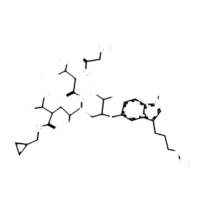 COCCCc1cn(C)c2ccc(CC(C[C@H](NC(=O)[C@@H](NC(=O)CN)C(C)C)C(O)CC(C(=O)NCC3CC3)C(C)C)C(C)C)cc12